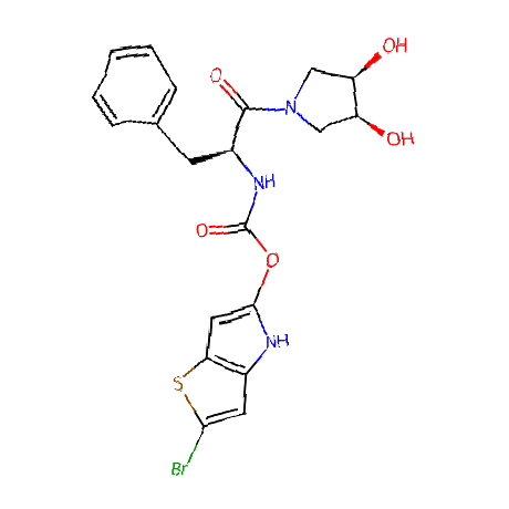 O=C(N[C@@H](Cc1ccccc1)C(=O)N1C[C@@H](O)[C@@H](O)C1)Oc1cc2sc(Br)cc2[nH]1